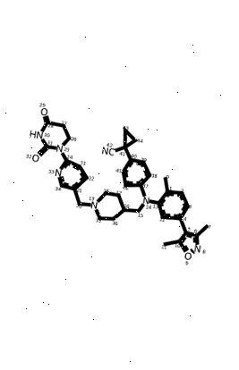 Cc1ccc(-c2c(C)noc2C)cc1N(CC1CCN(Cc2ccc(N3CCC(=O)NC3=O)nc2)CC1)c1ccc(C2(C#N)CC2)cc1